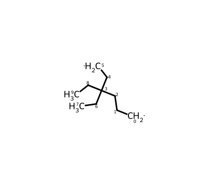 [CH2]CCC(C[CH2])(CC)CC